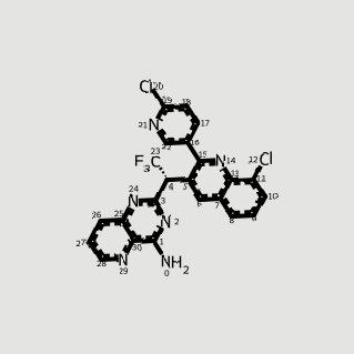 Nc1nc([C@@H](c2cc3cccc(Cl)c3nc2-c2ccc(Cl)nc2)C(F)(F)F)nc2cccnc12